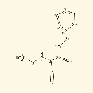 C#CC(NCC(=O)O)C(=O)OCc1ccccc1